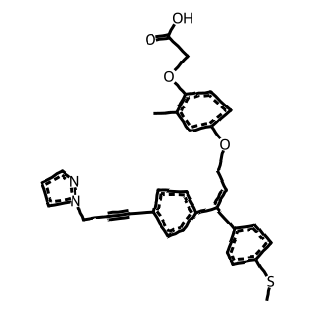 CSc1ccc(C(=CCOc2ccc(OCC(=O)O)c(C)c2)c2ccc(C#CCn3cccn3)cc2)cc1